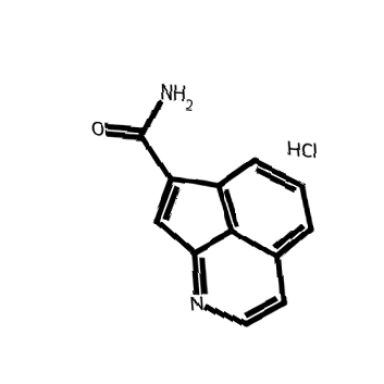 Cl.NC(=O)C1=Cc2nccc3cccc1c23